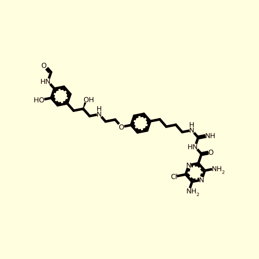 N=C(NCCCCc1ccc(OCCNC[C@H](O)Cc2ccc(NC=O)c(O)c2)cc1)NC(=O)c1nc(Cl)c(N)nc1N